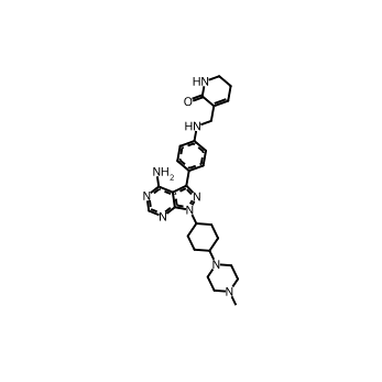 CN1CCN(C2CCC(n3nc(-c4ccc(NCC5=CCCNC5=O)cc4)c4c(N)ncnc43)CC2)CC1